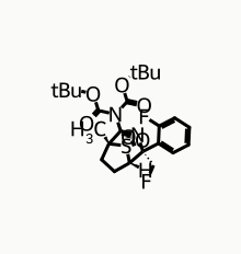 CC(C)(C)OC(=O)N(C(=O)OC(C)(C)C)C1=N[C@@](CF)(c2ccccc2F)[C@@H]2CC[C@@]1(C)S2(=O)=O